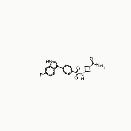 NC(=O)[C@H]1C[C@H](NS(=O)(=O)c2ccc(-c3c[nH]c4cc(F)ccc34)cc2)C1